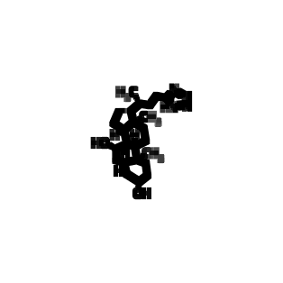 C[C@H](CCc1nnn[nH]1)[C@H]1CC[C@H]2[C@@H]3[C@H](O)C[C@@H]4C[C@H](O)CC[C@]4(C)[C@H]3CC[C@]12C